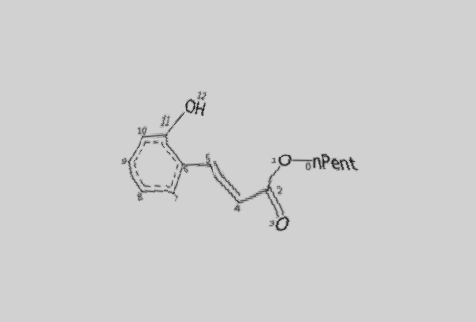 CCCCCOC(=O)C=Cc1ccccc1O